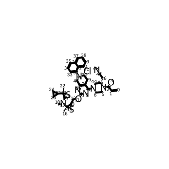 C=CC(=O)N1CCN(c2nc(OCC3S[C@]3(C)N(C)C3S[C@@]3(C)C3CC3)nc3c2CCN(c2cccc4cccc(Cl)c24)C3)C[C@@H]1CC#N